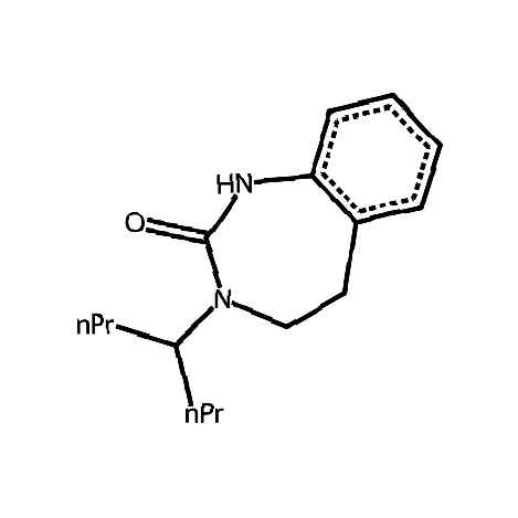 CCCC(CCC)N1CCc2ccccc2NC1=O